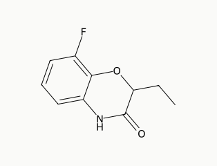 CCC1Oc2c(F)cccc2NC1=O